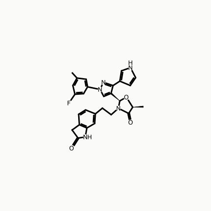 Cc1cc(F)cc(-n2cc([C@H]3O[C@@H](C)C(=O)N3CCc3ccc4c(c3)NC(=O)C4)c(-c3cc[nH]c3)n2)c1